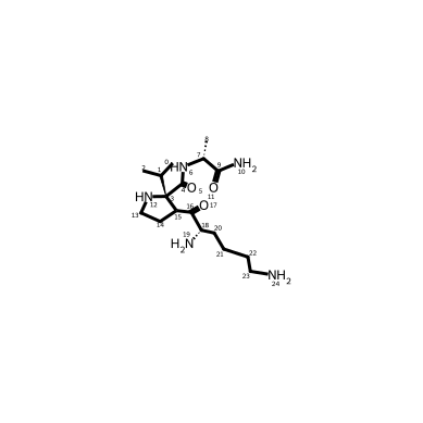 CC(C)[C@]1(C(=O)N[C@H](C)C(N)=O)NCCC1C(=O)[C@@H](N)CCCCN